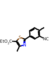 [C-]#[N+]c1cc(-c2nc(C)c(C(=O)OCC)s2)ccc1C